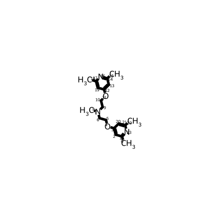 Cc1cc(OCCN(C)CCOc2cc(C)nc(C)c2)cc(C)n1